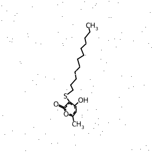 CCCCCCCCCCCCSc1c(O)cc(C)oc1=O